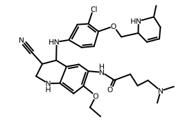 CCOc1cc2c(cc1NC(=O)CCCN(C)C)C(Nc1ccc(OCC3C=CCC(C)N3)c(Cl)c1)C(C#N)CN2